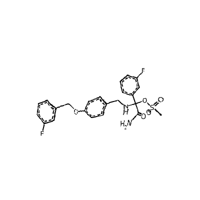 CS(=O)(=O)OC(NCc1ccc(OCc2cccc(F)c2)cc1)(C(N)=O)c1cccc(F)c1